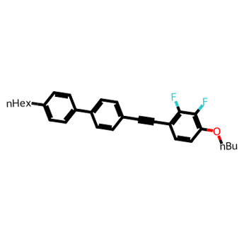 CCCCCCc1ccc(-c2ccc(C#Cc3ccc(OCCCC)c(F)c3F)cc2)cc1